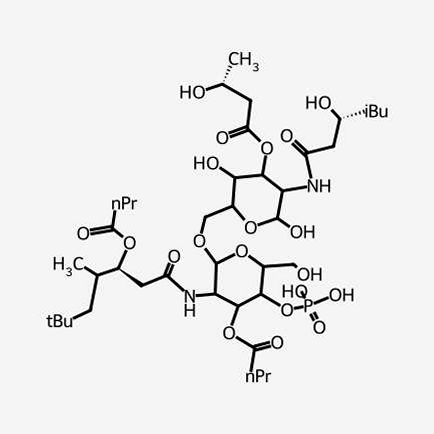 CCCC(=O)OC1C(NC(=O)C[C@H](OC(=O)CCC)C(C)CC(C)(C)C)C(OCC2OC(O)C(NC(=O)C[C@H](O)C(C)CC)C(OC(=O)C[C@@H](C)O)C2O)OC(CO)C1OP(=O)(O)O